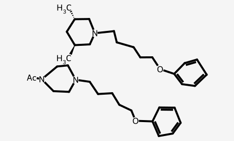 CC(=O)N1CCN(CCCCCOc2ccccc2)CC1.C[C@H]1C[C@H](C)CN(CCCCCOc2ccccc2)C1